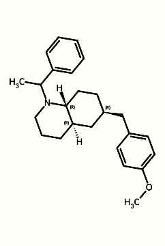 COc1ccc(C[C@@H]2CC[C@@H]3[C@H](CCCN3C(C)c3ccccc3)C2)cc1